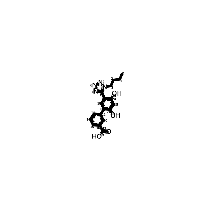 CCCCn1nnnc1-c1cc(-c2cccc(C(=O)O)c2)c(O)cc1O